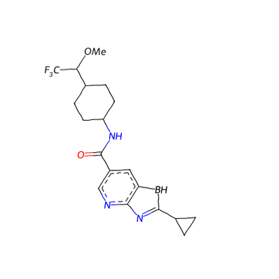 COC(C1CCC(NC(=O)c2cnc3c(c2)BC(C2CC2)=N3)CC1)C(F)(F)F